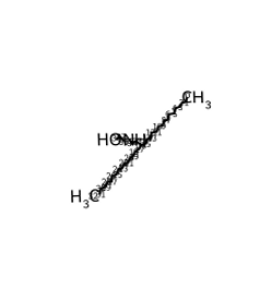 CCCCCCCCCCCCCCCCC(CCCCCCCCCCCCCCCC)CCNCCO